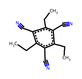 CCc1c(C#N)c(CC)c(C#N)c(CC)c1C#N